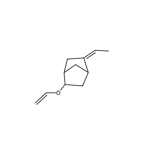 C=COC1CC2CC1C/C2=C/C